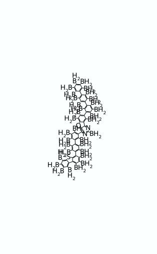 Bc1nc(-c2c(B)c(B)c(B)c(-c3c(B)c(B)c(-c4c(B)c(B)c(B)c5c4sc4c(B)c(B)c(B)c(B)c45)c(B)c3B)c2B)c2oc3c(B)c(B)c(-c4c(B)c(B)c(B)c(-c5c(B)c(B)c(-c6c(B)c(B)c(B)c(B)c6B)c(B)c5B)c4B)c(B)c3c2n1